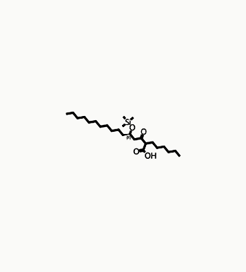 CCCCCCCCCCC[C@H](CC(=O)C(CCCCCC)C(=O)O)O[Si](C)(C)C